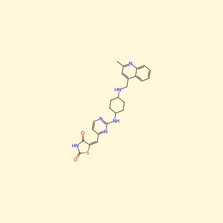 Cc1cc(CNC2CCC(Nc3nccc(/C=C4/SC(=O)NC4=O)n3)CC2)c2ccccc2n1